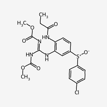 CCC(=O)Nc1ccc([S+]([O-])c2ccc(Cl)cc2)cc1NC(=NC(=O)OC)NC(=O)OC